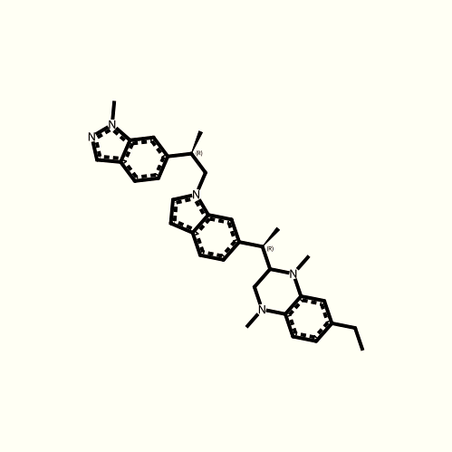 CCc1ccc2c(c1)N(C)C([C@H](C)c1ccc3ccn(C[C@H](C)c4ccc5cnn(C)c5c4)c3c1)CN2C